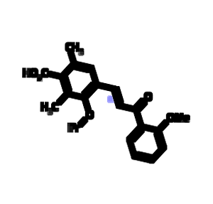 COc1ccccc1C(=O)/C=C/c1cc(C)c(C(=O)O)c(C)c1OC(C)C